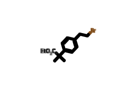 CCOC(=O)C(C)(C)c1ccc(CCBr)cc1